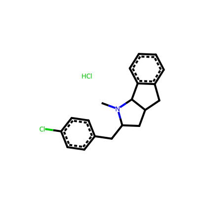 CN1C(Cc2ccc(Cl)cc2)CC2Cc3ccccc3C21.Cl